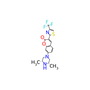 C[C@@H]1CN(c2ccc3cc(-c4nc(C(F)(F)F)cs4)c(=O)oc3c2)C[C@H](C)N1